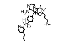 CCCc1ccnc(NC(=O)c2ccc(-c3nc(C(C)N(C)C(=O)C=CCN(C)C)n4ccnc(N)c34)cc2)c1